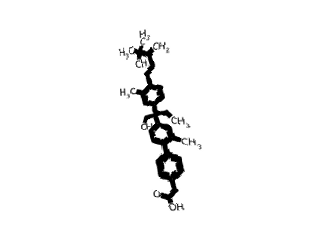 C=C(CCc1ccc(C(CC)(CC)c2ccc(-c3ccc(CC(=O)O)cc3)c(C)c2)cc1C)C(C)(C)C